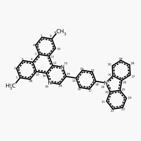 Cc1ccc2c3ccc(C)cc3c3nc(-c4ccc(-n5c6ccccc6c6ccccc65)cc4)cnc3c2c1